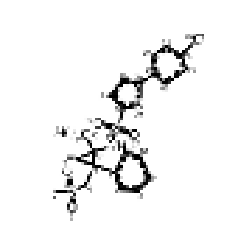 CS(=O)(=O)C[C@@]1(c2ccccc2)CC1(NS(=O)(=O)c1ccc(-c2ccc(Cl)cc2)s1)C(=O)O